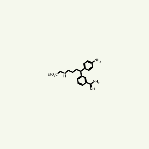 CCOC(=O)CNCCCC(c1ccc(N)cc1)c1cccc(C(=N)N)c1